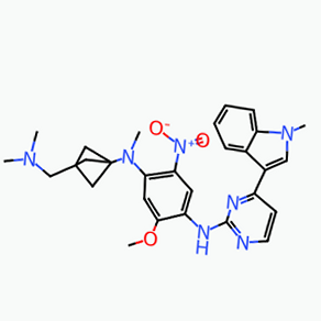 COc1cc(N(C)C23CC(CN(C)C)(C2)C3)c([N+](=O)[O-])cc1Nc1nccc(-c2cn(C)c3ccccc23)n1